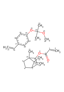 C=CC(=O)OC1CC2CCC1(C)C2(C)C.C=Cc1ccc(OC(C)(C)OC)cc1